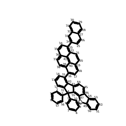 c1ccc(C2(c3ccccc3)c3cccc(-c4ccc5ccc6c(-c7ccc8ccccc8c7)ccc7ccc4c5c76)c3-c3ccc4c(oc5ccccc54)c32)cc1